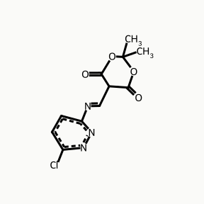 CC1(C)OC(=O)C(C=Nc2ccc(Cl)nn2)C(=O)O1